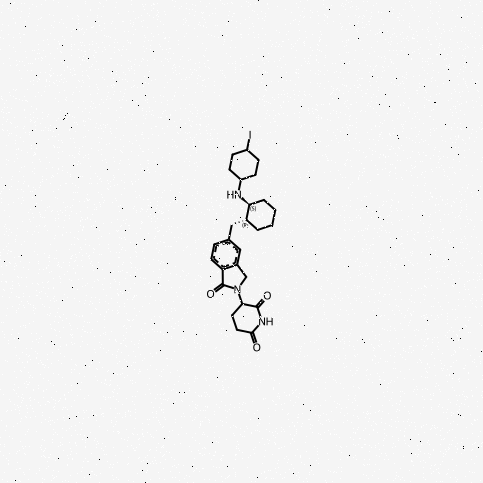 O=C1CCC(N2Cc3cc(C[C@H]4CCCC[C@@H]4NC4CCC(I)CC4)ccc3C2=O)C(=O)N1